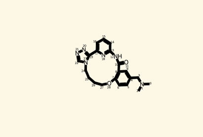 CN(C)Cc1ccc2c(c1)C(=O)Nc1cccc(n1)-c1nncn1CCCCO2